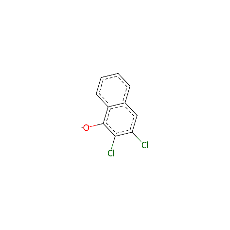 [O]c1c(Cl)c(Cl)cc2ccccc12